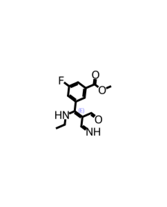 CCN/C(=C(\C=N)C=O)c1cc(F)cc(C(=O)OC)c1